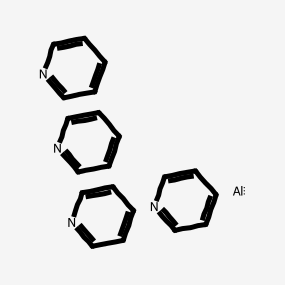 [Al].c1ccncc1.c1ccncc1.c1ccncc1.c1ccncc1